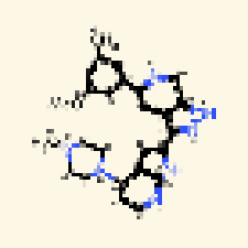 COc1cc(C)cc(-c2cc3c(-c4cc5c(N6CCN(C)CC6)ccnc5[nH]4)n[nH]c3cn2)c1